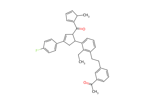 CCc1c(CCc2cccc(C(C)=O)c2)cccc1C1CC(c2ccc(F)cc2)=CC1C(=O)C1=CC=CC1C